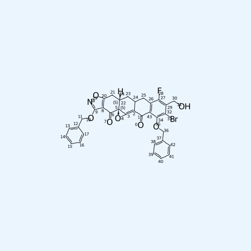 O=C1C2=C3O[C@]34C(=O)c3c(OCc5ccccc5)noc3C[C@@H]4CC2Cc2c(F)c(CO)c(Br)c(OCc3ccccc3)c21